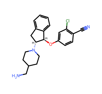 N#Cc1ccc(O[C@@H]2c3ccccc3C[C@H]2N2CCC(CN)CC2)cc1Cl